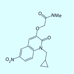 CNC(=O)COc1cc2cc([N+](=O)[O-])ccc2n(CC2CC2)c1=O